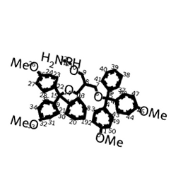 COc1ccc(C(OCC(COPN)COC(c2ccccc2)(c2ccc(OC)cc2)c2ccc(OC)cc2)(c2ccccc2)c2ccc(OC)cc2)cc1